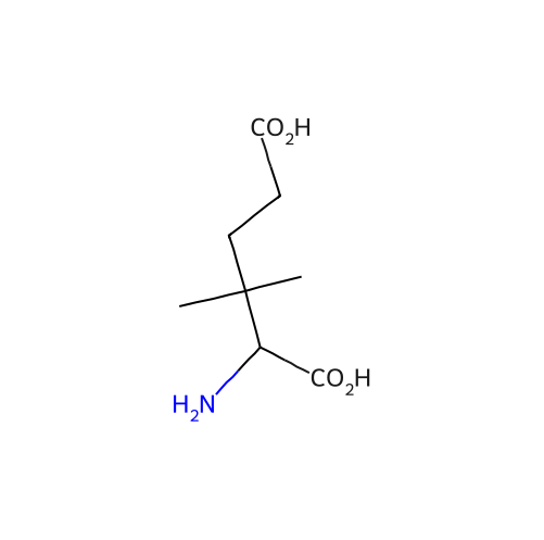 CC(C)(CCC(=O)O)C(N)C(=O)O